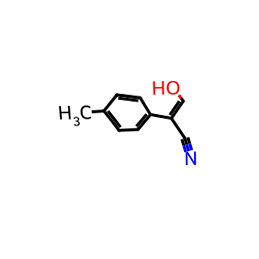 Cc1ccc(/C(C#N)=C\O)cc1